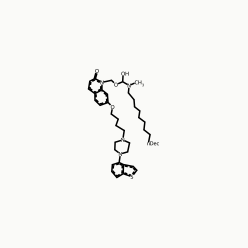 CCCCCCCCCCCCCCCCCCN(C)C(O)OCn1c(=O)ccc2ccc(OCCCCN3CCN(c4cccc5sccc45)CC3)cc21